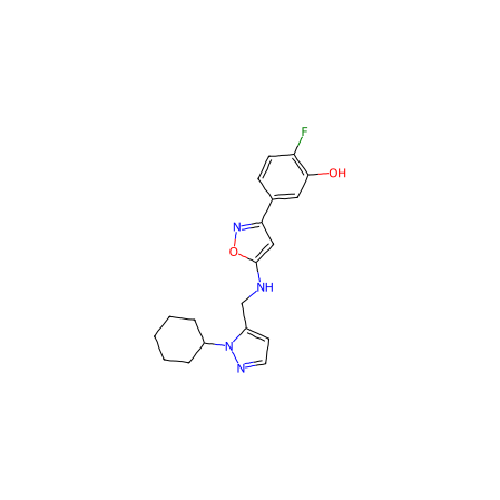 Oc1cc(-c2cc(NCc3ccnn3C3CCCCC3)on2)ccc1F